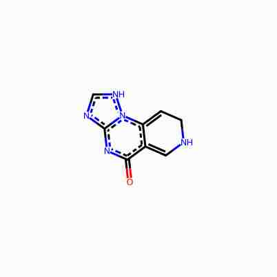 O=c1nc2nc[nH]n2c2c1=CNCC=2